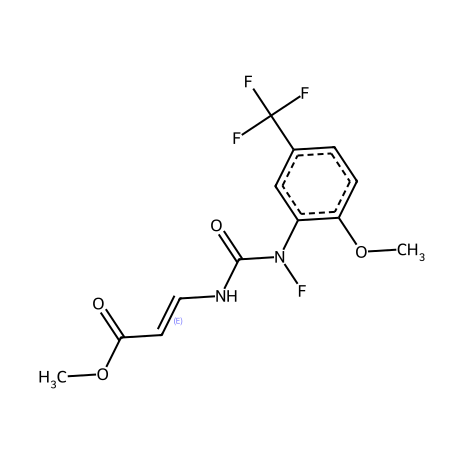 COC(=O)/C=C/NC(=O)N(F)c1cc(C(F)(F)F)ccc1OC